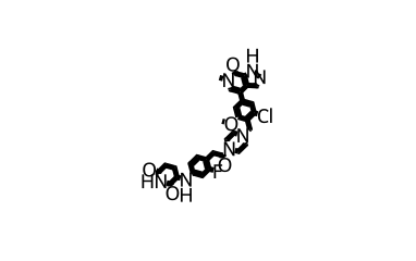 COc1cc(-c2cn(C)c(=O)c3[nH]ncc23)cc(Cl)c1CN1CCN(C(=O)Cc2ccc(NC3CCC(=O)NC3=O)cc2F)CC1